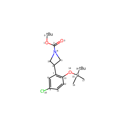 CC(C)(C)OC(=O)N1CC(c2cc(Cl)ccc2O[Si](C)(C)C(C)(C)C)C1